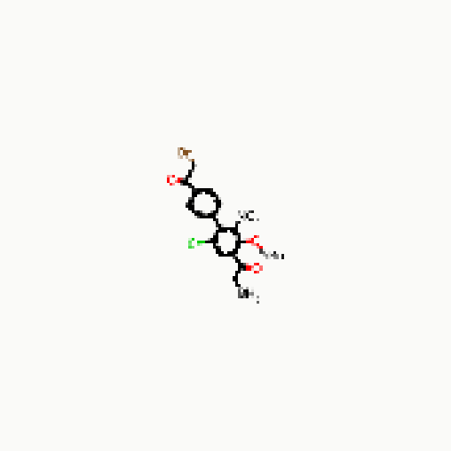 BCC(=O)c1cc(Cl)c(-c2ccc(C(=O)CBr)cc2)c([N+](=O)[O-])c1OCCCC